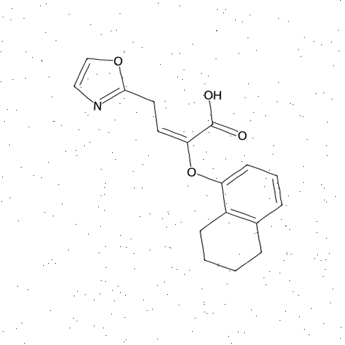 O=C(O)C(=CCc1ncco1)Oc1cccc2c1CCCC2